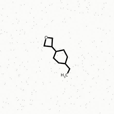 CCC1CCC(C2COC2)CC1